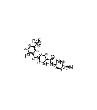 N#Cc1ccc(NC(=O)C2CCN(Cc3cc(C(F)(F)F)ccc3F)CC2)nn1